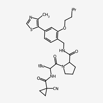 Cc1ncsc1-c1ccc(CNC(=O)C2CCCN2C(=O)C(NC(=O)C2(C#N)CC2)C(C)(C)C)c(OCCC(C)C)c1